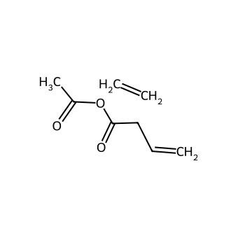 C=C.C=CCC(=O)OC(C)=O